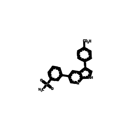 CS(=O)(=O)c1cccc(-c2cnc3[nH]cc(-c4ccc(C(=O)O)cc4)c3c2)c1